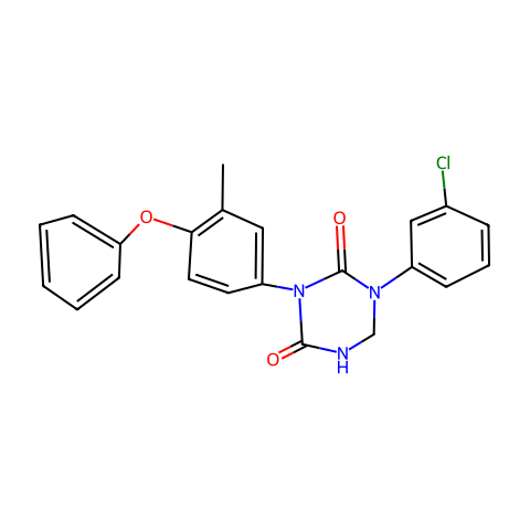 Cc1cc(N2C(=O)NCN(c3cccc(Cl)c3)C2=O)ccc1Oc1ccccc1